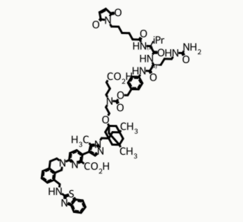 Cc1c(-c2ccc(N3CCc4cccc(CNc5nc6ccccc6s5)c4C3)nc2C(=O)O)cnn1CC12CC3(C)CC(C)(C1)CC(OCCN(CCCC(=O)O)C(=O)OCc1ccc(NC(=O)[C@H](CCCNC(N)=O)NC(=O)[C@@H](NC(=O)CCCCCN4C(=O)C=CC4=O)C(C)C)cc1)(C3)C2